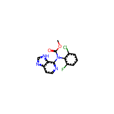 COC(=O)N(c1c(F)cccc1Cl)c1nccc2nc[nH]c12